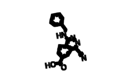 N#Cc1nnc(NCc2ccccc2)c2ccc(C(=O)O)cc12